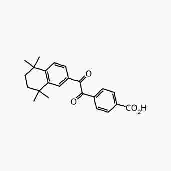 CC1(C)CCC(C)(C)c2cc(C(=O)C(=O)c3ccc(C(=O)O)cc3)ccc21